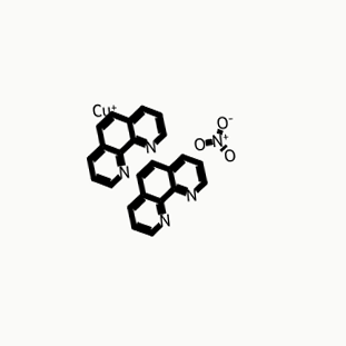 O=[N+]([O-])[O-].[Cu+].c1cnc2c(c1)ccc1cccnc12.c1cnc2c(c1)ccc1cccnc12